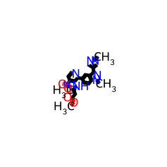 COC(=O)C[C@@H](C)Nc1c([N+](=O)[O-])ccnc1-c1ccc2c(c1)c(-c1cnn(C)c1)nn2C